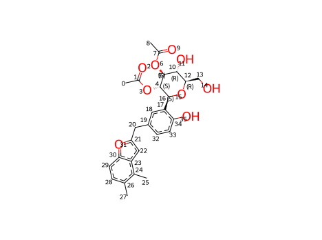 CC(=O)O[C@@H]1[C@@H](OC(C)=O)[C@H](O)[C@@H](CO)O[C@H]1c1cc(Cc2cc3c(C)c(C)ccc3o2)ccc1O